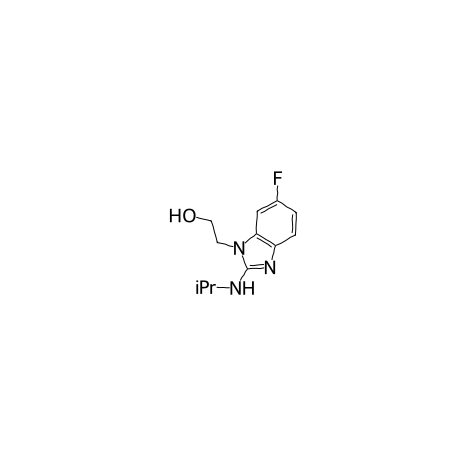 CC(C)Nc1nc2ccc(F)cc2n1CCO